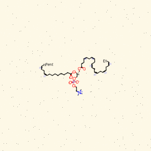 CC/C=C\C/C=C\C/C=C\C/C=C\C/C=C\C/C=C\CCC(=O)OC[C@H](COP(=O)([O-])OCC[N+](C)(C)C)OC(=O)CCCCCCC/C=C\C/C=C\CCCCC